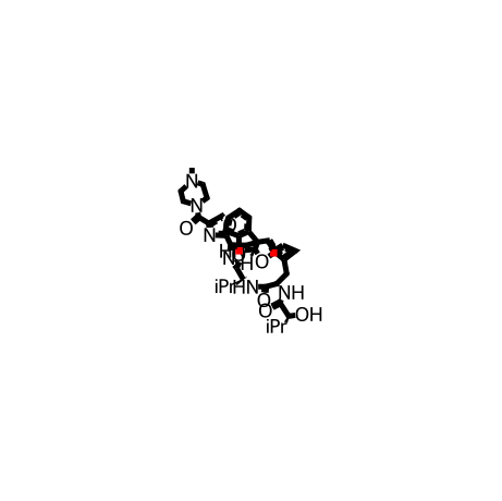 CC(C)[C@H](O)C(=O)N[C@H]1Cc2ccc3c(c2)C2(c4ccccc4N[C@H]2O3)c2oc(nc2-c2nc(C(=O)N3CCN(C)CC3)co2)[C@H](C(C)C)NC1=O